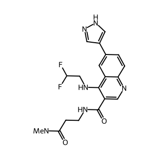 CNC(=O)CCNC(=O)c1cnc2ccc(-c3cn[nH]c3)cc2c1NCC(F)F